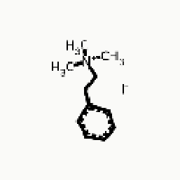 C[N+](C)(C)CCc1ccccc1.[I-]